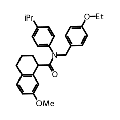 CCOc1ccc(CN(C(=O)C2CCCc3ccc(OC)cc32)c2ccc(C(C)C)cc2)cc1